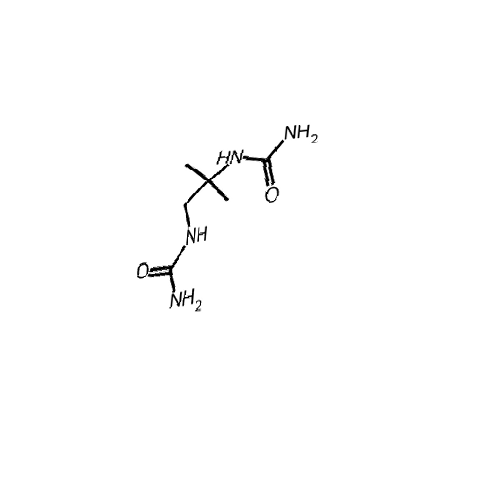 CC(C)(CNC(N)=O)NC(N)=O